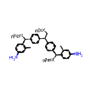 CCCCCCCCCCCC(c1ccc(C(CCCCC)c2ccc(N)cc2C)cc1)c1ccc(C(CCCCC)c2ccc(N)cc2C)cc1